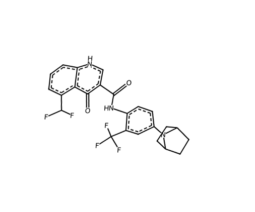 O=C(Nc1ccc(N2C3CCC2CC3)cc1C(F)(F)F)c1c[nH]c2cccc(C(F)F)c2c1=O